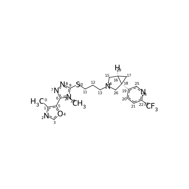 Cc1ncoc1-c1nnc(SCCCN2C[C@H]3C[C@@]3(c3ccc(C(F)(F)F)nc3)C2)n1C